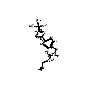 C#CCNC(=O)N(C)Cc1ccc(-c2noc(C(F)(F)F)n2)cc1